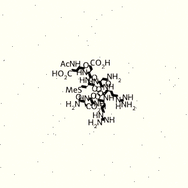 CSCC[C@H](NC(=O)[C@H](CCC(=O)O)NC(=O)[C@H](CCC(=O)O)NC(C)=O)C(=O)N[C@@H](CC(N)=O)C(=O)N[C@@H](CCCNC(=N)N)C(=O)N[C@@H](CCCNC(=N)N)C(=O)N[C@@H](C)C(=O)N[C@@H](CC(=O)O)C(N)=O